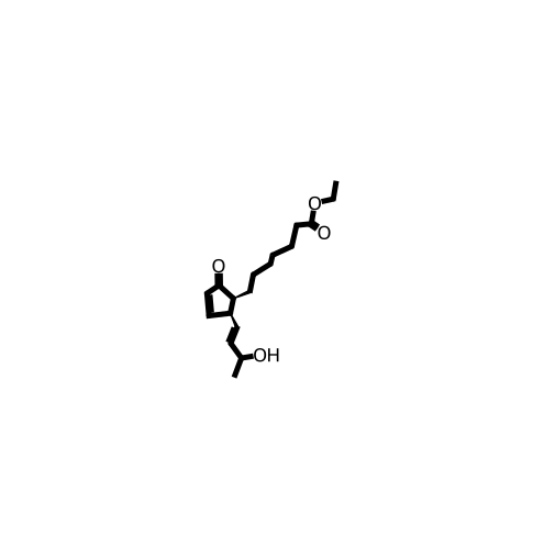 CCOC(=O)CCCCCC[C@@H]1C(=O)C=C[C@@H]1/C=C/C(C)O